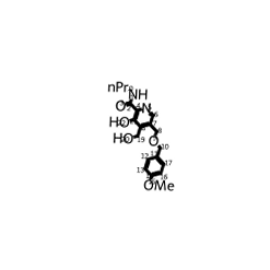 CCCNC(=O)c1ncc(COCc2ccc(OC)cc2)c(CO)c1O